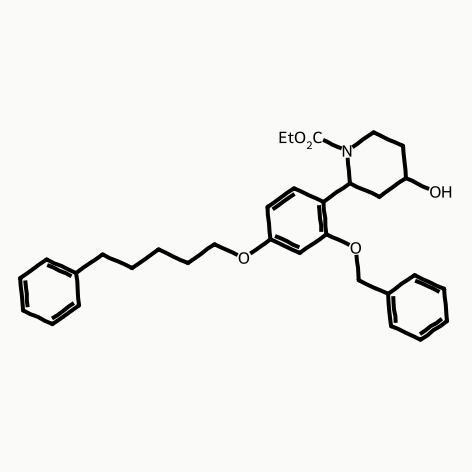 CCOC(=O)N1CCC(O)CC1c1ccc(OCCCCCc2ccccc2)cc1OCc1ccccc1